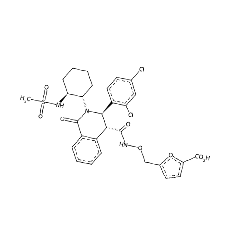 CS(=O)(=O)N[C@H]1CCCC[C@@H]1N1C(=O)c2ccccc2[C@@H](C(=O)NOCc2ccc(C(=O)O)o2)[C@@H]1c1ccc(Cl)cc1Cl